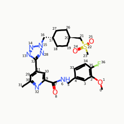 COc1cc(CNC(=O)c2cc(-c3nnn(C[C@H]4CC[C@H](CS(C)(=O)=O)CC4)n3)cc(C)n2)ccc1F